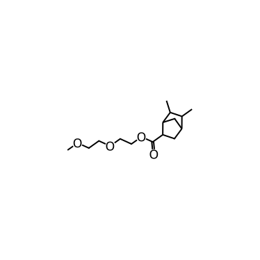 COCCOCCOC(=O)C1CC2CC1C(C)C2C